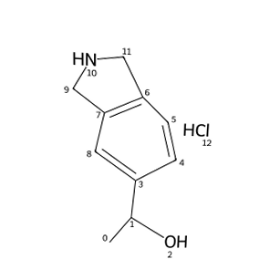 CC(O)c1ccc2c(c1)CNC2.Cl